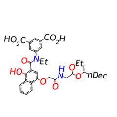 CCCCCCCCCCC(C)OC(CNC(=O)COc1cc(C(=O)N(CC)c2cc(C(=O)O)cc(C(=O)O)c2)c(O)c2ccccc12)OCC